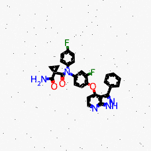 NC(=O)C1(C(=O)N(c2ccc(F)cc2)c2ccc(Oc3ccnc4[nH]nc(-c5ccccc5)c34)c(F)c2)CC1